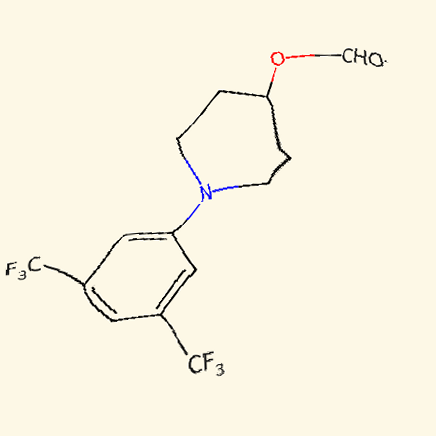 O=[C]OC1CCN(c2cc(C(F)(F)F)cc(C(F)(F)F)c2)CC1